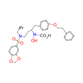 CC(C)CN(CCC(Cc1ccc(OCCc2ccccc2)cc1)N(O)C(=O)O)S(=O)(=O)c1ccc2c(c1)OCO2